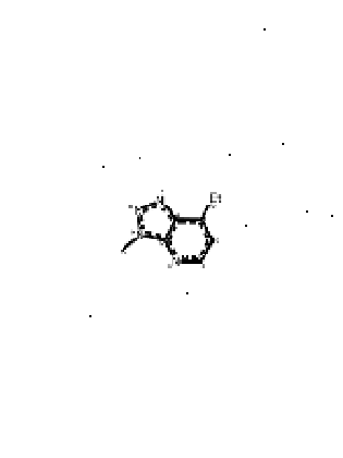 CCc1ccnc2c1nnn2C